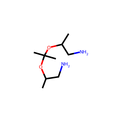 CC(CN)OC(C)(C)OC(C)CN